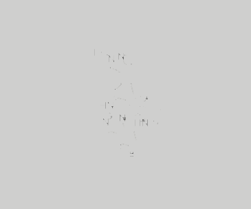 Cn1cc(-c2cc(Nc3ncc4cc(Br)ccc4n3)cc(OC3CCNC3)c2)cn1